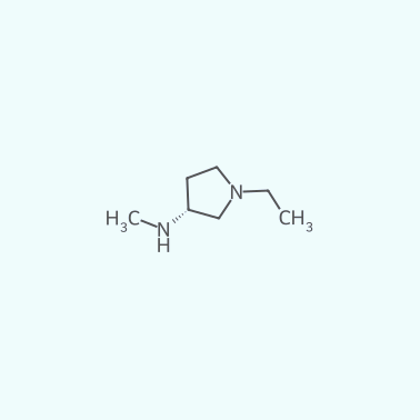 CCN1CC[C@@H](NC)C1